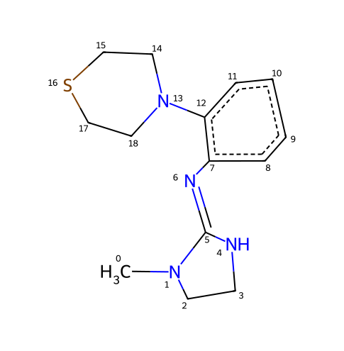 CN1CCNC1=Nc1ccccc1N1CCSCC1